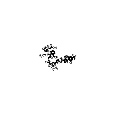 CC1(C)OC(c2ccco2)CN1C(=O)C(Cl)Cl.CCOCN(C(=O)CCl)c1c(C)cccc1CC.Nc1c([N+](=O)[O-])cnn1-c1c(Cl)cc(C(F)(F)F)cc1Cl.O=C(O)CNCP(=O)(O)O